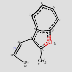 Cc1oc2ccccc2c1/C=C\C(C)C